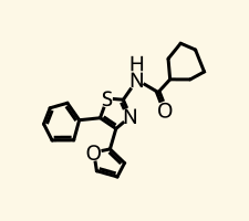 O=C(Nc1nc(-c2ccco2)c(-c2ccccc2)s1)C1CCCCC1